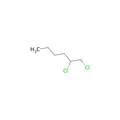 CCCCC(Cl)[CH]Cl